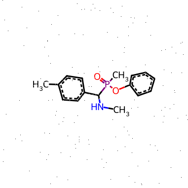 CNC(c1ccc(C)cc1)P(C)(=O)Oc1ccccc1